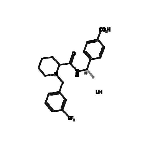 C[C@H](NC(=O)C1CCCCN1Cc1cccc(C(F)(F)F)c1)c1ccc(C(=O)O)cc1.[LiH]